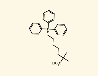 CCOC(=O)C(C)(C)CCCCC[PH](c1ccccc1)(c1ccccc1)c1ccccc1